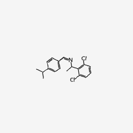 CC(C)c1ccc(/C=N\C(C)c2c(Cl)cccc2Cl)cc1